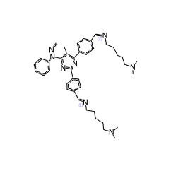 C=NN(c1ccccc1)c1nc(-c2ccc(/C=N/CCCCCN(C)C)cc2)nc(-c2ccc(/C=N\CCCCCN(C)C)cc2)c1C